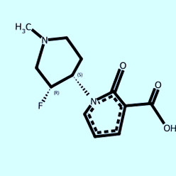 CN1CC[C@H](n2cccc(C(=O)O)c2=O)[C@H](F)C1